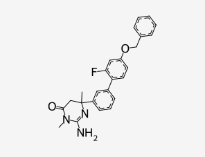 CN1C(=O)CC(C)(c2cccc(-c3ccc(OCc4ccccc4)cc3F)c2)N=C1N